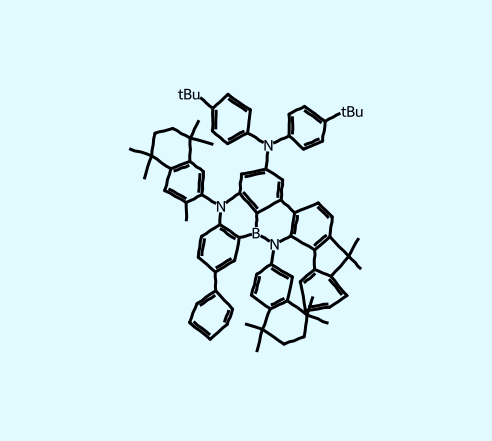 Cc1cc2c(cc1N1c3ccc(-c4ccccc4)cc3B3c4c(cc(N(c5ccc(C(C)(C)C)cc5)c5ccc(C(C)(C)C)cc5)cc41)-c1ccc4c(c1N3c1ccc3c(c1)C(C)(C)CCC3(C)C)-c1ccccc1C4(C)C)C(C)(C)CCC2(C)C